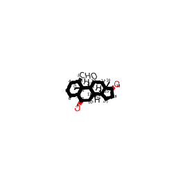 C[C@]12C(C=O)CCCC1C(=O)C[C@@H]1[C@@H]2CC[C@]2(C)C(=O)CC[C@@H]12